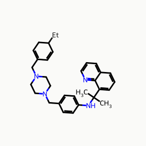 CCC1C=CC(CN2CCN(Cc3ccc(NC(C)(C)c4cccc5cccnc45)cc3)CC2)=CC1